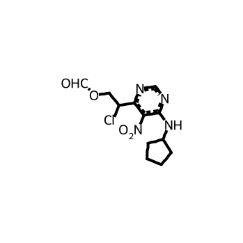 O=COCC(Cl)c1ncnc(NC2CCCC2)c1[N+](=O)[O-]